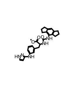 COC(=O)C(Cc1cccc(Nc2cc[nH]n2)c1)NC(=O)Nc1c2c(cc3c1CCC3)CCC2